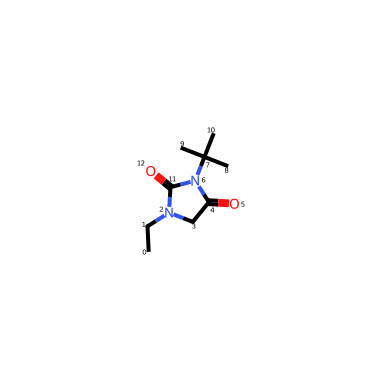 CCN1CC(=O)N(C(C)(C)C)C1=O